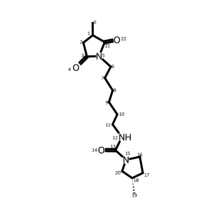 CC1CC(=O)N(CCCCCCNC(=O)N2CC[C@H](C)C2)C1=O